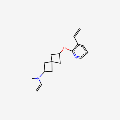 C=Cc1cccnc1OC1CC2(C1)CC(N(C)C=C)C2